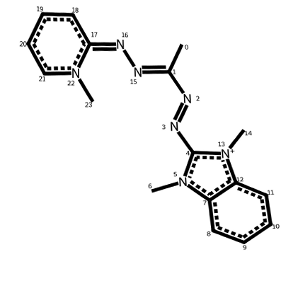 CC(N=Nc1n(C)c2ccccc2[n+]1C)=NN=c1ccccn1C